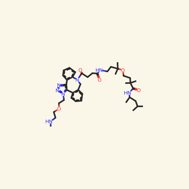 CNCCOCCn1nnc2c1-c1ccccc1CN(C(=O)CCC(=O)NCCC(C)(C)OCCC(C)(C)C(=O)NC(C)CC(C)C)c1ccccc1-2